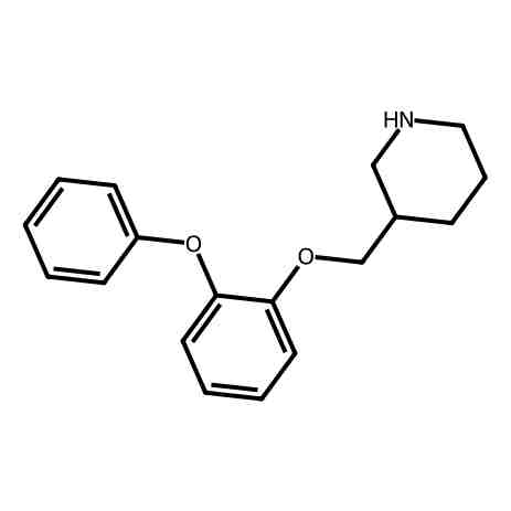 c1ccc(Oc2ccccc2OCC2CCCNC2)cc1